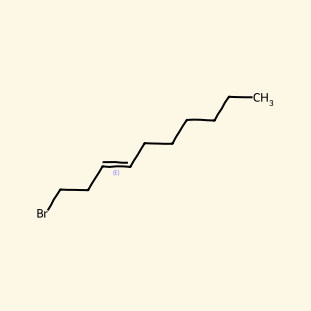 CCCCCC/C=C/CCBr